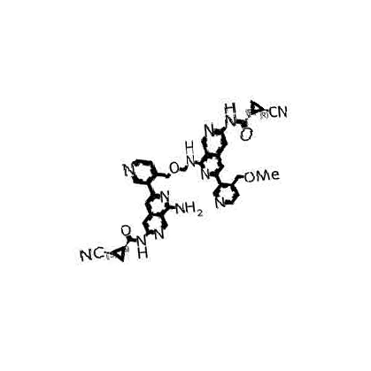 COCc1ccncc1-c1cc2cc(NC(=O)[C@@H]3C[C@H]3C#N)ncc2c(NCOCc2ccncc2-c2cc3cc(NC(=O)[C@H]4C[C@@H]4C#N)ncc3c(N)n2)n1